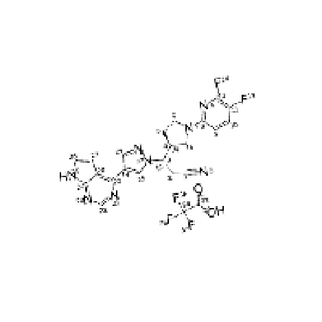 N#CC[C@@H]([C@H]1CCN(c2ccc(F)c(F)n2)C1)n1cc(-c2ncnc3[nH]ccc23)cn1.O=C(O)C(F)(F)F